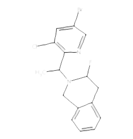 CC(c1ncc(Br)cc1Cl)N1Cc2ccccc2CC1F